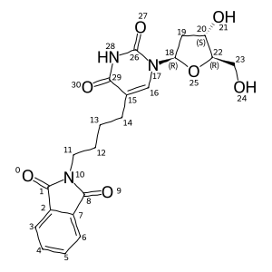 O=C1c2ccccc2C(=O)N1CCCCc1cn([C@H]2C[C@H](O)[C@@H](CO)O2)c(=O)[nH]c1=O